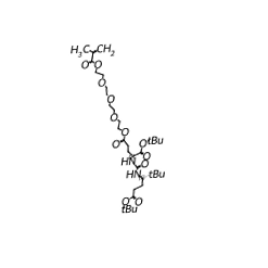 C=C(C)C(=O)OCCOCCOCCOCCOC(=O)CC[C@H](NC(=O)N[C@@H](CCC(=O)OC(C)(C)C)C(C)(C)C)C(=O)OC(C)(C)C